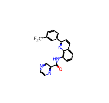 O=C(Nc1cccc2ccc(-c3cccc(C(F)(F)F)c3)nc12)c1cnccn1